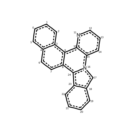 c1ccc2c(c1)ccc1c2c2ncccc2n2cc3ccccc3c12